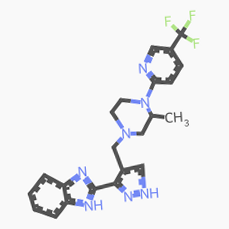 CC1CN(Cc2c[nH]nc2-c2nc3ccccc3[nH]2)CCN1c1ccc(C(F)(F)F)cn1